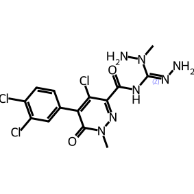 CN(N)/C(=N\N)NC(=O)c1nn(C)c(=O)c(-c2ccc(Cl)c(Cl)c2)c1Cl